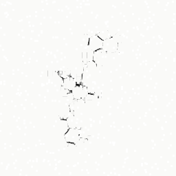 CC1(C)CCOc2c(C(=O)NC3CN4C(=N)N[C@@H](CNC(=O)c5cccc(F)n5)[C@@H]5NC(=N)N[C@@]54[C@@H]3O)cccc21